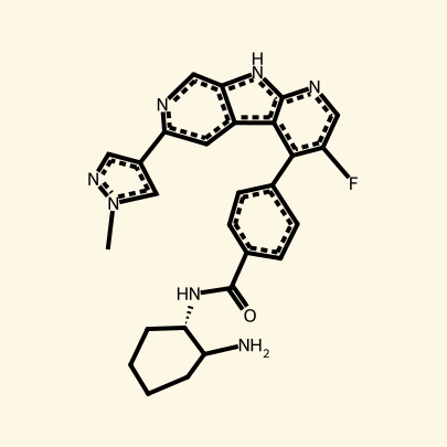 Cn1cc(-c2cc3c(cn2)[nH]c2ncc(F)c(-c4ccc(C(=O)N[C@H]5CCCCC5N)cc4)c23)cn1